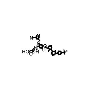 Cc1c(COc2cc(OCc3cncc(C#N)c3)c(CNCC(O)CC(=O)O)cc2Cl)cccc1-c1cccc(-c2ccc(C(C)N(C)C)cc2)c1C